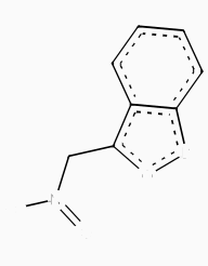 O=[N+]([O-])Cc1obc2ccccc12